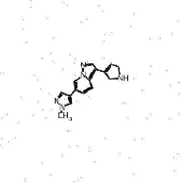 Cn1cc(-c2ccc3c(C4=CCNC4)cnn3c2)cn1